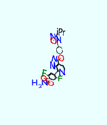 CC(C)c1noc(C2CCC(Oc3ncnc4c(-c5cc(F)c(S(N)(=O)=O)cc5F)nccc34)CC2)n1